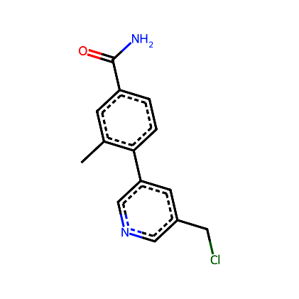 Cc1cc(C(N)=O)ccc1-c1cncc(CCl)c1